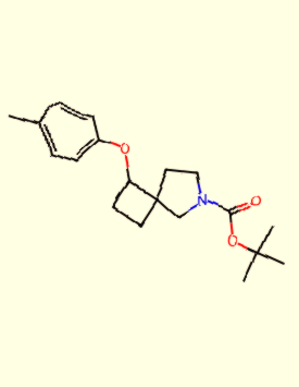 Cc1ccc(OC2CCC23CCN(C(=O)OC(C)(C)C)C3)cc1